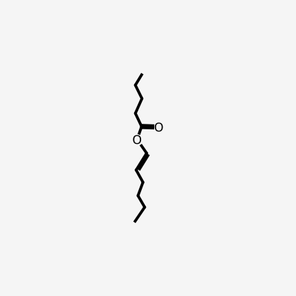 CCCC/C=C/OC(=O)CCCC